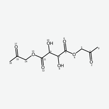 CC(=O)COC(=O)C(O)C(O)C(=O)OCC(C)=O